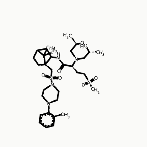 Cc1ccccc1N1CCN(S(=O)(=O)CC23CCC(CC2NC(=O)[C@H](CCS(C)(=O)=O)N(C[C@@H](C)O)C[C@@H](C)O)C3(C)C)CC1